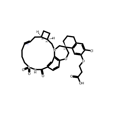 O=C(O)CCOc1cc2c(cc1Cl)CCC[C@]21COc2ccc3cc2N(C[C@@H]2CC[C@@H]2C/C=C/CCCS(=O)(=O)NC3=O)C1